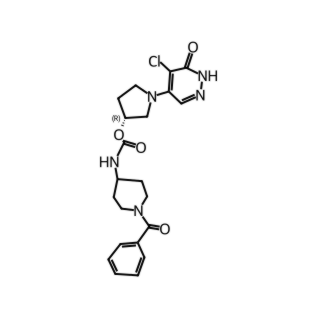 O=C(NC1CCN(C(=O)c2ccccc2)CC1)O[C@@H]1CCN(c2cn[nH]c(=O)c2Cl)C1